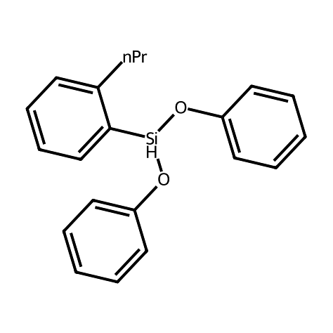 CCCc1ccccc1[SiH](Oc1ccccc1)Oc1ccccc1